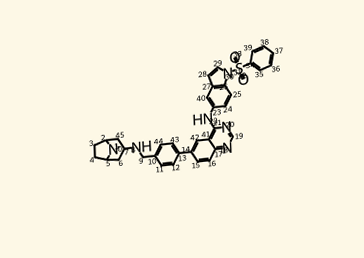 CN1C2CCC1CC(NCc1ccc(-c3ccc4ncnc(Nc5ccc6c(ccn6S(=O)(=O)c6ccccc6)c5)c4c3)cc1)C2